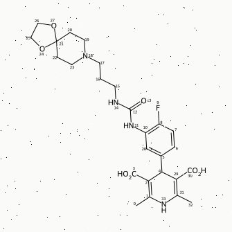 CC1=C(C(=O)O)C(c2ccc(F)c(NC(=O)NCCCN3CCC4(CC3)OCCO4)c2)C(C(=O)O)=C(C)N1